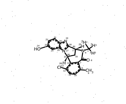 [2H]C([2H])([2H])N1C(=O)c2c(C)ccc(Cl)c2[C@H]2C[C@@H]1c1nc3ccc(O)cc3n12